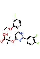 CCOc1cc(F)ccc1-c1cc(OC(C)(C)C(=O)O)nc(-c2ccc(F)c(F)c2)n1